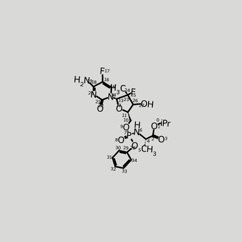 CC(C)OC(=O)[C@H](C)N[P@@](=O)(OC[C@H]1O[C@@H](n2cc(F)c(N)nc2=O)[C@](C)(F)C1O)Oc1ccccc1